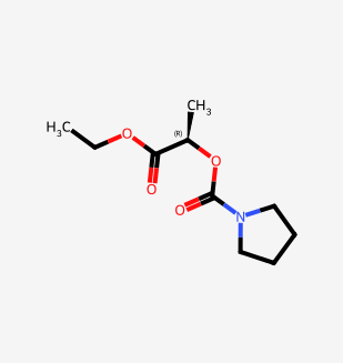 CCOC(=O)[C@@H](C)OC(=O)N1CCCC1